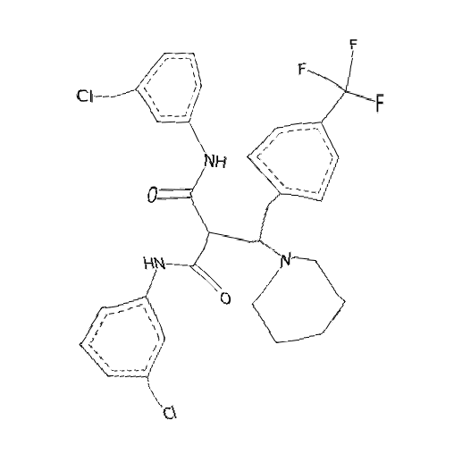 O=C(Nc1cccc(Cl)c1)C(C(=O)Nc1cccc(Cl)c1)C(c1ccc(C(F)(F)F)cc1)N1CCCCC1